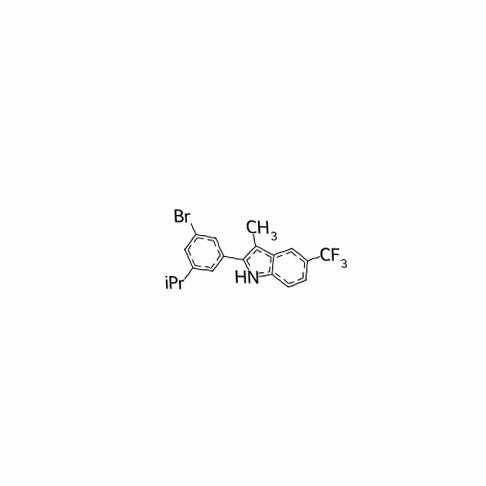 Cc1c(-c2cc(Br)cc(C(C)C)c2)[nH]c2ccc(C(F)(F)F)cc12